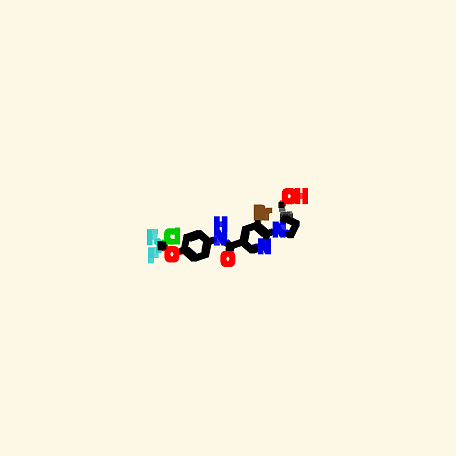 O=C(Nc1ccc(OC(F)(F)Cl)cc1)c1cnc(N2CC[C@H]2CO)c(Br)c1